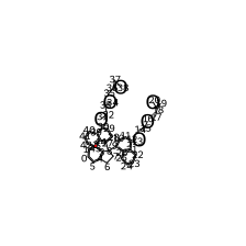 c1ccc2c(c1)CCC2(c1ccc(OCCOCC2CO2)c2ccccc12)c1ccc(OCCOCC2CO2)c2ccccc12